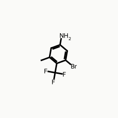 Cc1cc(N)cc(Br)c1C(F)(F)F